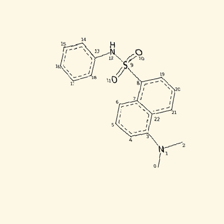 CN(C)c1cccc2c(S(=O)(=O)Nc3cc[c]cc3)cccc12